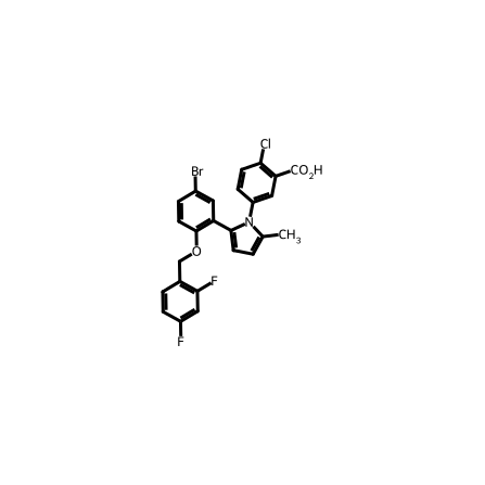 Cc1ccc(-c2cc(Br)ccc2OCc2ccc(F)cc2F)n1-c1ccc(Cl)c(C(=O)O)c1